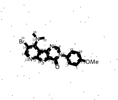 COc1ccc(-n2cnc3c(sc4ncc(Br)c(N(C)C)c43)c2=O)cc1